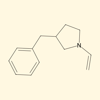 C=CN1CCC(Cc2ccccc2)C1